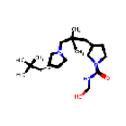 CC(C)(C)C[C@H]1CCN(CC(C)(C)CC2CCN(C(=O)NCO)C2)C1